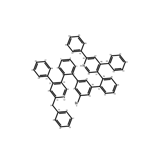 Brc1cc(-c2ccccc2-c2cnc(Cc3ccccc3)cc2-c2ccccc2)cc(-c2ccccc2-c2cnc(-c3ccccc3)cc2-c2ccccc2)c1